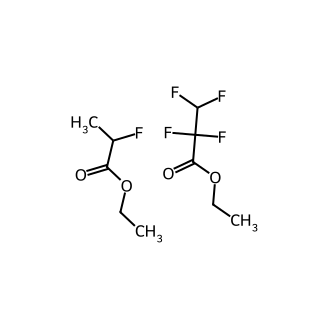 CCOC(=O)C(C)F.CCOC(=O)C(F)(F)C(F)F